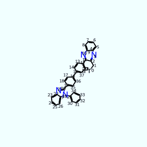 CC(C)Cc1nc2ccccc2nc1-c1ccc(-c2ccc(-c3nc4ccccc4n3-c3ccccc3)cc2)cc1